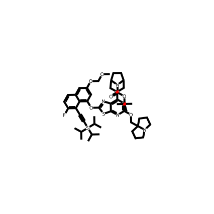 COCOc1cc(Oc2nc3c(N4CC5CCC(C4)N5C(=O)OC(C)(C)C)nc(OCC45CCCN4CCC5)nc3s2)c2c(C#C[Si](C(C)C)(C(C)C)C(C)C)c(F)ccc2c1